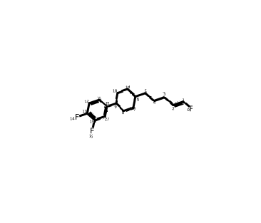 FC=CCCCC1CCC(c2ccc(F)c(F)c2)CC1